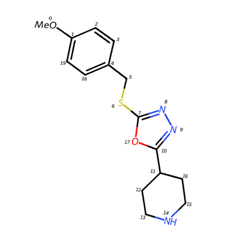 COc1ccc(CSc2nnc(C3CCNCC3)o2)cc1